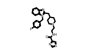 O=C(NCCN1CCC(Cc2nc3ccccc3n2Cc2ccc(F)cc2)CC1)c1cscn1